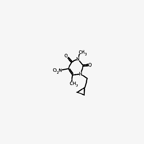 Cc1c([N+](=O)[O-])c(=O)n(C)c(=O)n1CC1CC1